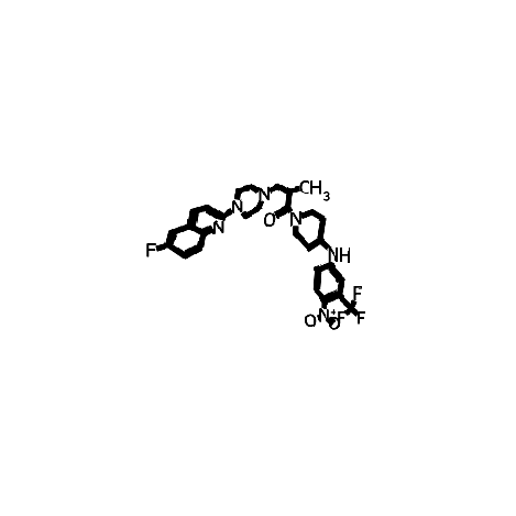 CC(CN1CCN(c2ccc3cc(F)ccc3n2)CC1)C(=O)N1CCC(Nc2ccc([N+](=O)[O-])c(C(F)(F)F)c2)CC1